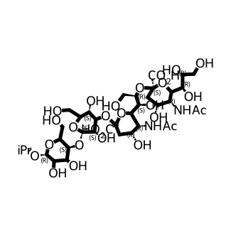 CC(=O)N[C@H]1C([C@H](O)[C@H](O)CO)O[C@@](O[C@H](CO)[C@@H](O)C2O[C@@](OC3[C@@H](O)C(CO)O[C@@H](O[C@@H]4C(CO)O[C@@H](OC(C)C)C(O)C4O)[C@H]3O)(C(=O)O)C[C@@H](O)[C@H]2NC(C)=O)(C(=O)O)C[C@H]1O